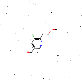 COCCc1ncc(C=O)cc1Cl